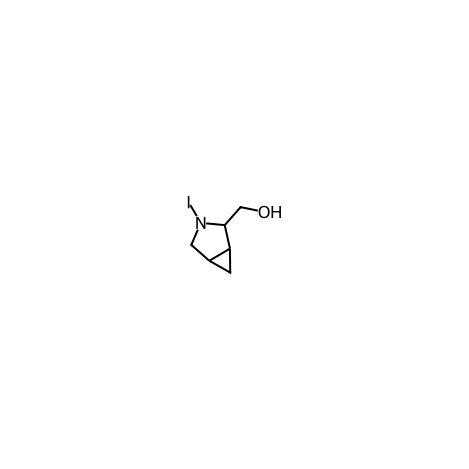 OCC1C2CC2CN1I